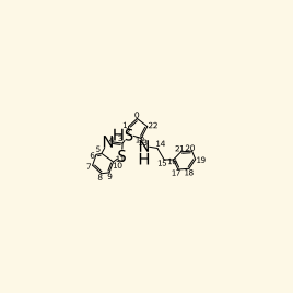 C1=C[SH](c2nc3ccccc3s2)C(NCCc2ccccc2)=C1